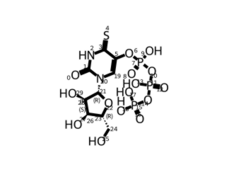 O=c1[nH]c(=S)c(OP(=O)(O)OP(=O)(O)OP(=O)(O)O)cn1[C@@H]1O[C@H](CO)[C@@H](O)[C@H]1O